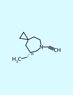 C#CN1CCC2(CC2)C[C@@H](CC)C1